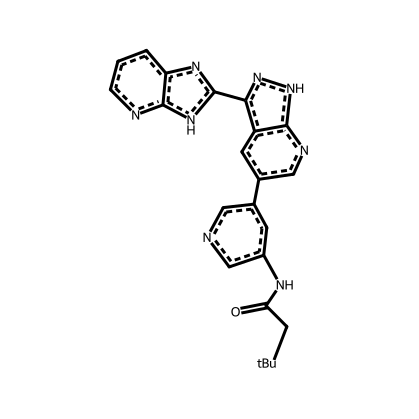 CC(C)(C)CC(=O)Nc1cncc(-c2cnc3[nH]nc(-c4nc5cccnc5[nH]4)c3c2)c1